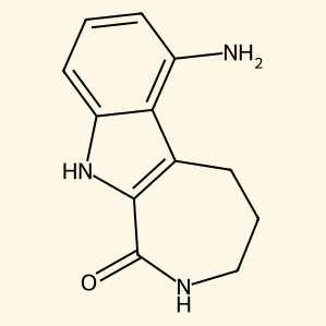 Nc1cccc2[nH]c3c(c12)CCCNC3=O